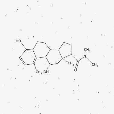 Cc1ccc(O)c2c1C1C(CC2)C2CC[C@H](C(=O)N(C)C)[C@@]2(C)C[C@@H]1O